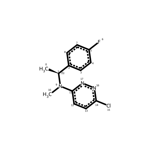 C[C@@H](c1ccc(F)cc1)N(C)c1ccc(Cl)nn1